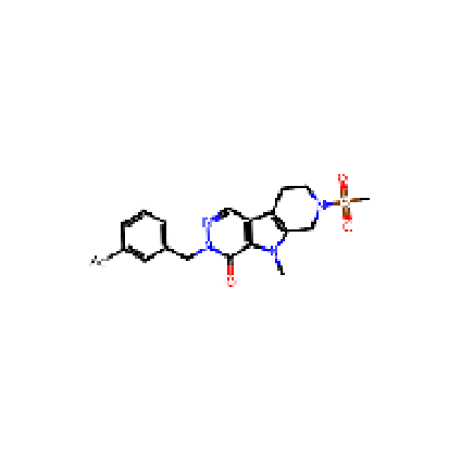 CC(=O)c1cccc(Cn2ncc3c4c(n(C)c3c2=O)CN(S(C)(=O)=O)CC4)c1